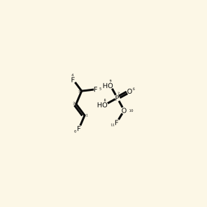 FC=CC(F)F.O=P(O)(O)OF